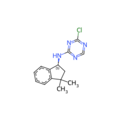 CC1(C)C[C@H](Nc2ncnc(Cl)n2)c2ccccc21